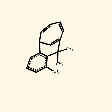 CC1(C)C2=CC(C=CC=C2)c2cccc(N)c21